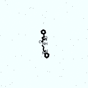 Cn1c(CCCNC(=O)c2cc(-c3ccccc3)on2)nc2ccccc21